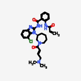 C=CC(=O)Nc1ccccc1C(=O)Nc1nc2cccc(Cl)c2n1[C@@H]1CCCCN(C(=O)/C=C/CN(C)C)C1